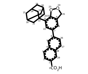 O=C(O)c1ccc2cc(-c3cc4c(c(C56CC7CC(CC(C7)C5)C6)c3)OOC4)ccc2c1